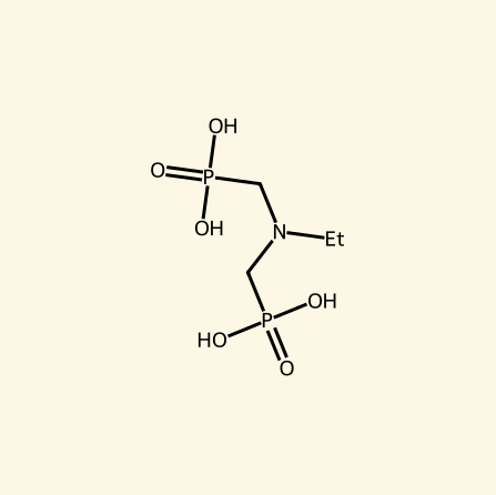 CCN(CP(=O)(O)O)CP(=O)(O)O